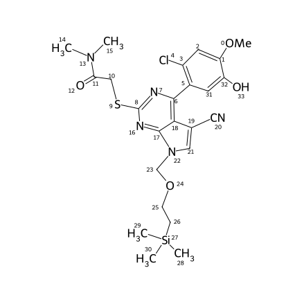 COc1cc(Cl)c(-c2nc(SCC(=O)N(C)C)nc3c2c(C#N)cn3COCC[Si](C)(C)C)cc1O